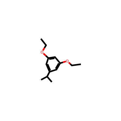 [CH2]C(C)c1cc(OCC)cc(OCC)c1